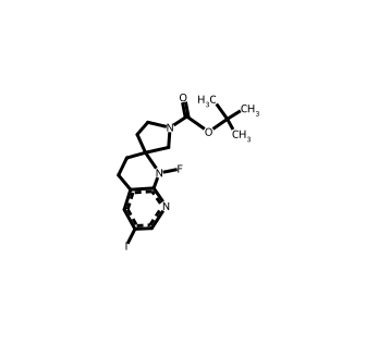 CC(C)(C)OC(=O)N1CCC2(CCc3cc(I)cnc3N2F)C1